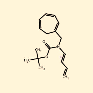 C=C/C=C/N(CC1=CC=CC=CC1)C(=O)OC(C)(C)C